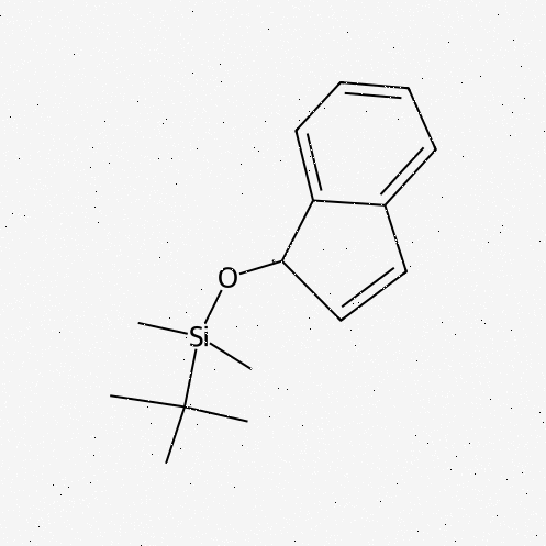 CC(C)(C)[Si](C)(C)O[C]1C=Cc2ccccc21